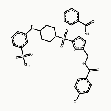 CS(=O)(=O)c1cccc(NC2CCN(S(=O)(=O)c3ccc(CNC(=O)c4ccc(Cl)cc4)o3)CC2)c1.NC(=O)c1ccccc1